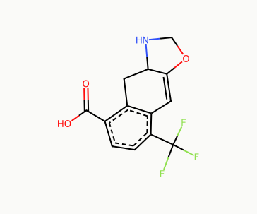 O=C(O)c1ccc(C(F)(F)F)c2c1CC1NCOC1=C2